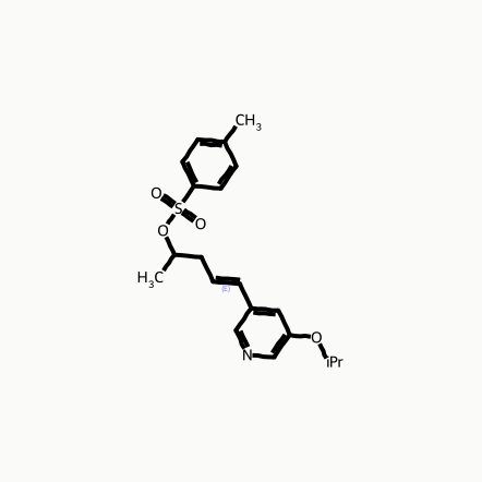 Cc1ccc(S(=O)(=O)OC(C)C/C=C/c2cncc(OC(C)C)c2)cc1